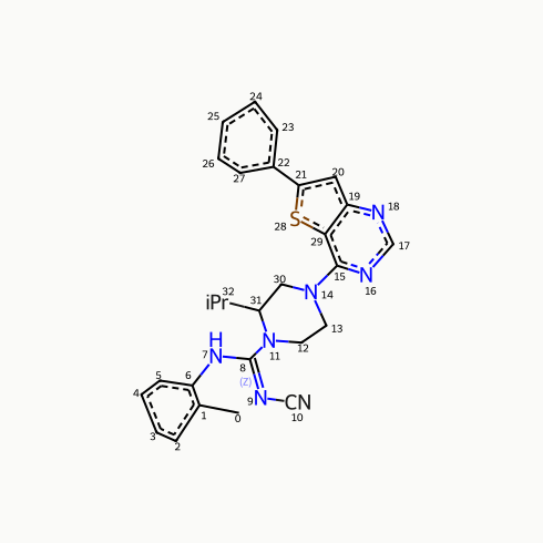 Cc1ccccc1N/C(=N/C#N)N1CCN(c2ncnc3cc(-c4ccccc4)sc23)CC1C(C)C